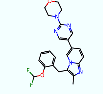 Cc1nc2ccc(-c3cnc(N4CCOCC4)nc3)cn2c1Cc1ccccc1OC(F)F